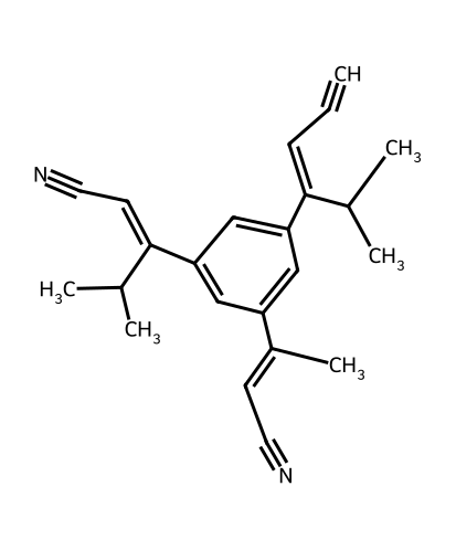 C#C/C=C(/c1cc(/C(C)=C/C#N)cc(/C(=C/C#N)C(C)C)c1)C(C)C